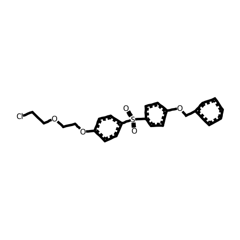 O=S(=O)(c1ccc(OCCOCCCl)cc1)c1ccc(OCc2ccccc2)cc1